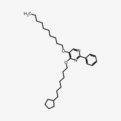 CCCCCCCCCCOc1cnc(-c2ccccc2)nc1OCCCCCCCC1CCCC1